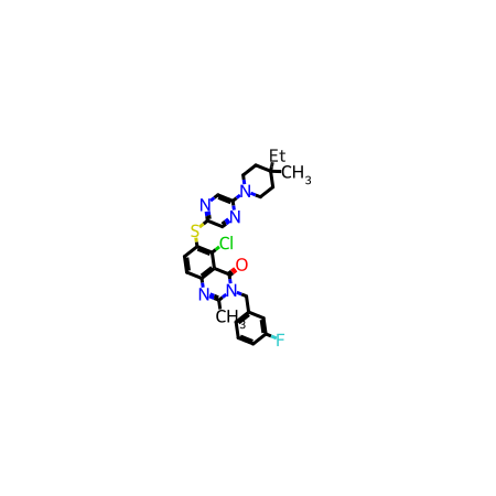 CCC1(C)CCN(c2cnc(Sc3ccc4nc(C)n(Cc5cccc(F)c5)c(=O)c4c3Cl)cn2)CC1